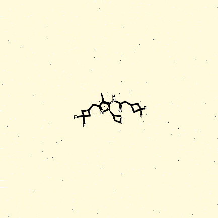 Cc1c(CC2CC(F)(F)C2)nn(C2CCC2)c1NC(=O)CC1CC(F)(F)C1